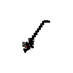 COCCOCCOCCOCCOCCNc1ccc2c(c1)[C@]1(C)CCN(CC3CC3)[C@H](C2=O)[C@@H]1C